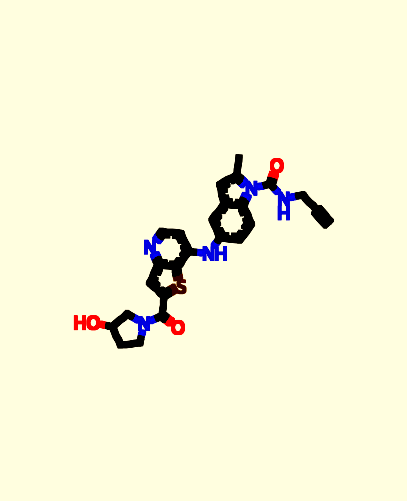 C#CCNC(=O)n1c(C)cc2cc(Nc3ccnc4cc(C(=O)N5CCC(O)C5)sc34)ccc21